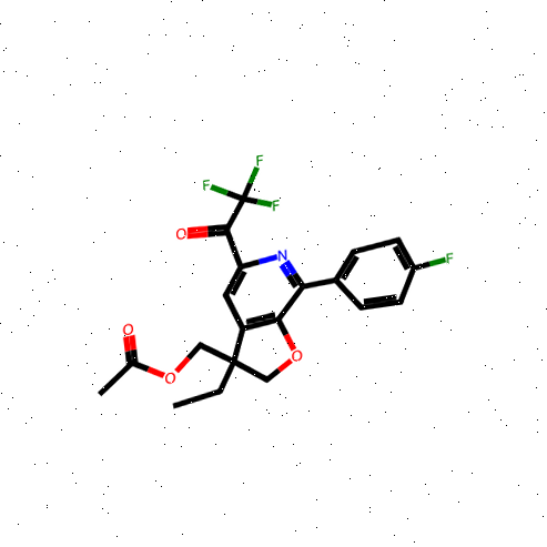 CCC1(COC(C)=O)COc2c1cc(C(=O)C(F)(F)F)nc2-c1ccc(F)cc1